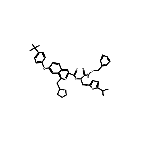 CC(C)c1ccc(CC(NC(=O)c2cc3ccc(Oc4ccc(C(C)(C)C)cc4)cc3c(CC3CCCC3)n2)C(=O)NOCc2ccccc2)s1